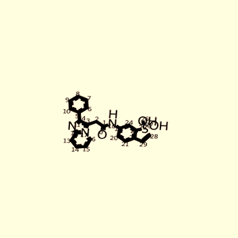 O=C(Cc1c(-c2ccccc2)nc2ccccn12)Nc1ccc2c(c1)S(O)(O)C=C2